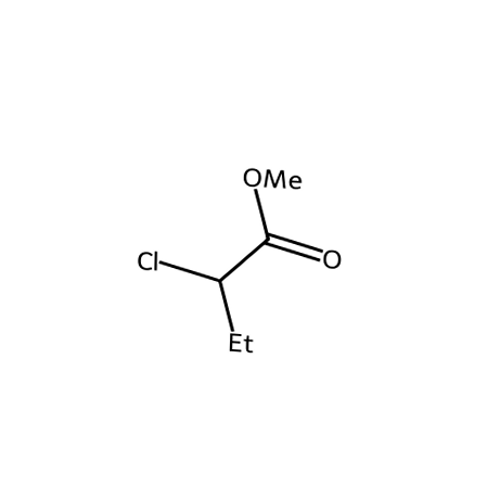 CCC(Cl)C(=O)OC